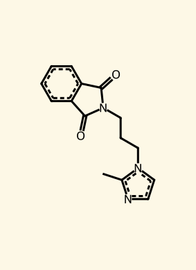 Cc1nccn1CCCN1C(=O)c2ccccc2C1=O